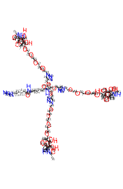 CC(=O)N[C@H]1[C@H]2OC[C@@](COCCOCCOCCOCCn3cc(COCC(COCc4cn(CCOCCOCCOCCOC[C@]56CO[C@@H](O5)[C@H](NC(C)=O)[C@@H](O)[C@H]6O)nn4)(COCc4cn(CCOCCOCCOCCOC[C@]56CO[C@@H](O5)[C@H](NC(C)=O)[C@@H](O)[C@H]6O)nn4)NC(=O)CCCCCNC(=O)CCCCCN=[N+]=[N-])nn3)(O2)[C@H](O)[C@@H]1O